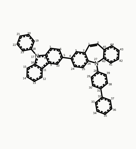 C1=Cc2cc(-c3ccc4c(c3)c3ccccc3n4-c3ccccc3)ccc2N(c2ccc(-c3ccccc3)cc2)c2ccccc21